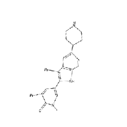 CC(C)c1cc(-c2[nH]c3ccc(C4CCNCC4)cc3c2C(C)C)cn(C)c1=O